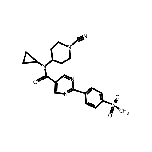 CS(=O)(=O)c1ccc(-c2ncc(C(=O)N(C3CC3)C3CCN(C#N)CC3)cn2)cc1